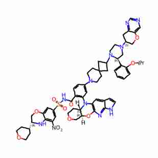 CC(C)Oc1ccccc1[C@@H]1CN([C@@H]2COc3cncnc3C2)CCN1C1CC2(CCN(c3ccc(C(=O)NS(=O)(=O)c4cc5c(c([N+](=O)[O-])c4)N[C@H](C4CCOCC4)CO5)c(N4c5cc6cc[nH]c6nc5O[C@H]5COCC[C@@H]54)c3)CC2)C1